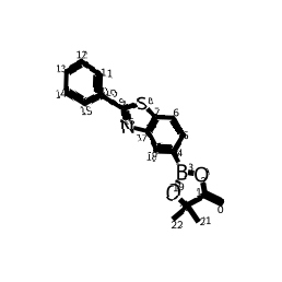 C=C1OB(c2ccc3sc(-c4ccccc4)nc3c2)OC1(C)C